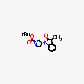 CC1C(=O)N([C@H]2CCN(C(=O)OC(C)(C)C)C2)c2ccccc21